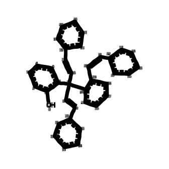 Oc1ccccc1C(C=Cc1ccccc1)(C=Cc1ccccc1)c1ccccc1C=Cc1ccccc1